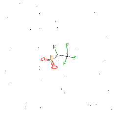 O=[SH](=O)C(F)C(F)(F)F